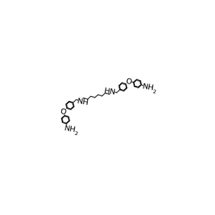 Nc1ccc(Oc2ccc(CNCCCCCCCCNCc3ccc(Oc4ccc(N)cc4)cc3)cc2)cc1